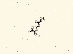 CCC(=O)OCOC(C)C(Cl)Cl